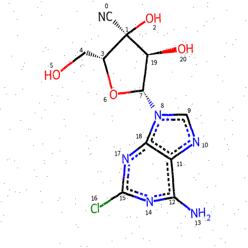 N#C[C@@]1(O)[C@@H](CO)O[C@@H](n2cnc3c(N)nc(Cl)nc32)[C@@H]1O